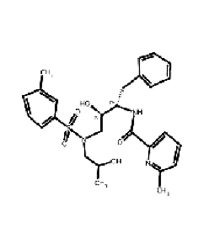 Cc1cccc(S(=O)(=O)N(CC(C)O)C[C@@H](O)[C@H](Cc2ccccc2)NC(=O)c2cccc(C)n2)c1